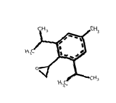 Cc1cc(C(C)C)c(C2CO2)c(C(C)C)c1